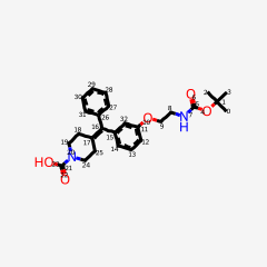 CC(C)(C)OC(=O)NCCOc1cccc(C(=C2CCN(C(=O)O)CC2)c2ccccc2)c1